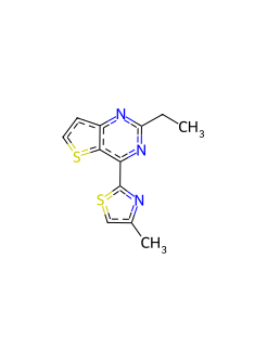 CCc1nc(-c2nc(C)cs2)c2sccc2n1